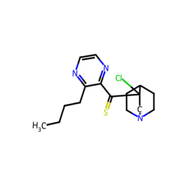 CCCCc1nccnc1C(=S)C1(Cl)CN2CCC1CC2